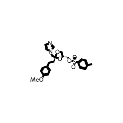 COc1ccc(CC[C@@]2(Cn3ccnc3)OC[C@H](COS(=O)(=O)c3ccc(C)cc3)O2)cc1